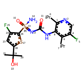 CC(C)c1ncc(F)c(C(C)C)c1NC(=O)N=[S@@](N)(=O)c1sc(C(C)(C)O)cc1F